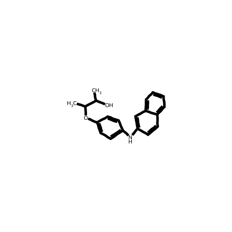 CC(O)C(C)Oc1ccc(Nc2ccc3ccccc3c2)cc1